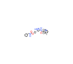 CC(C)(C(=O)Nc1cc([C@H]2C[C@@H](OC(=O)NCc3ccccc3)C2)[nH]n1)c1ccccn1